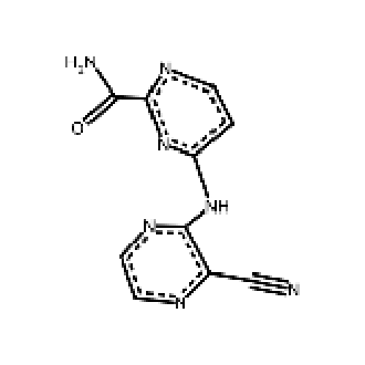 N#Cc1nccnc1Nc1ccnc(C(N)=O)n1